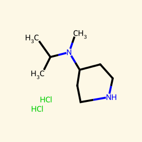 CC(C)N(C)C1CCNCC1.Cl.Cl